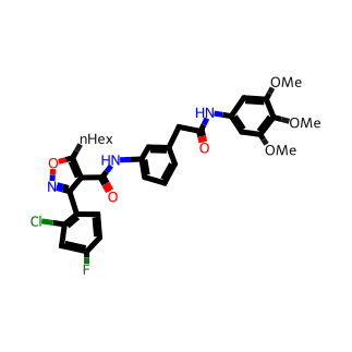 CCCCCCc1onc(-c2ccc(F)cc2Cl)c1C(=O)Nc1cccc(CC(=O)Nc2cc(OC)c(OC)c(OC)c2)c1